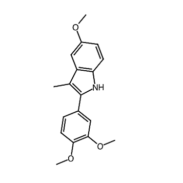 COc1ccc2[nH]c(-c3ccc(OC)c(OC)c3)c(C)c2c1